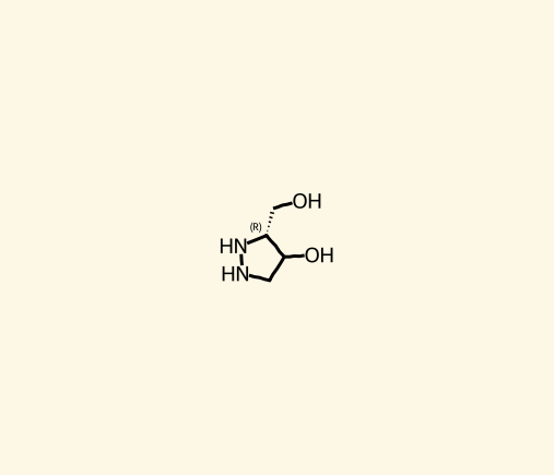 OC[C@H]1NNCC1O